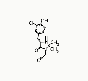 C#CCN1C(=O)/C(=C/c2ccc(O)c(Cl)c2)NC1(C)C